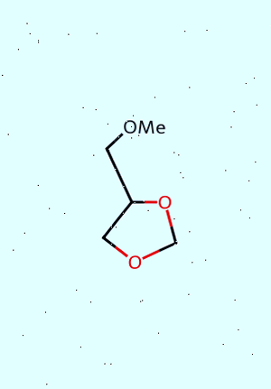 COCC1COCO1